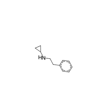 c1ccc(CCNC2CC2)cc1